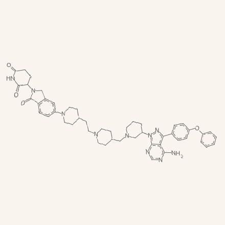 Nc1ncnc2c1c(-c1ccc(Oc3ccccc3)cc1)nn2C1CCCN(CC2CCN(CCC3CCN(c4ccc5c(c4)CN(C4CCC(=O)NC4=O)C5=O)CC3)CC2)C1